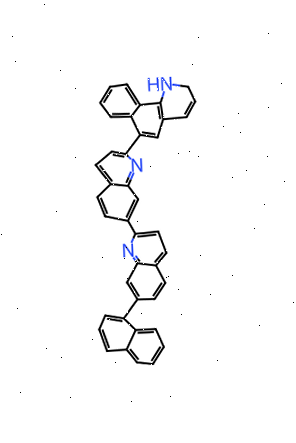 C1=Cc2cc(-c3ccc4ccc(-c5ccc6ccc(-c7cccc8ccccc78)cc6n5)cc4n3)c3ccccc3c2NC1